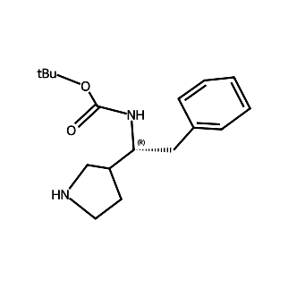 CC(C)(C)OC(=O)N[C@H](Cc1ccccc1)C1CCNC1